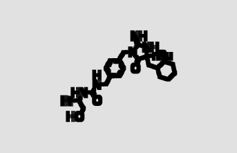 CCCCC1(CC2CCCCC2)NC(=N)N(Cc2ccc(CNC(=O)NC(CC)CO)cc2)C1=O